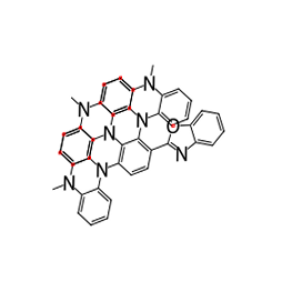 CN1c2ccccc2N(c2ccc(-c3nc4ccccc4o3)c(N3c4ccccc4N(C)c4ccccc43)c2N2c3ccccc3N(C)c3ccccc32)c2ccccc21